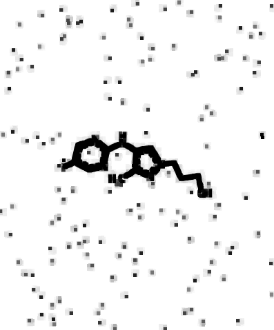 Cc1nn(CCCO)cc1Nc1ncc(I)cn1